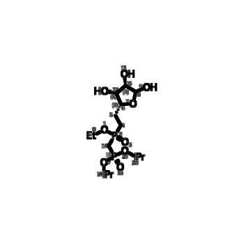 CCOP(=O)(CC[C@H]1OC(O)[C@H](O)[C@@H]1O)CP(=O)(OC(C)C)OC(C)C